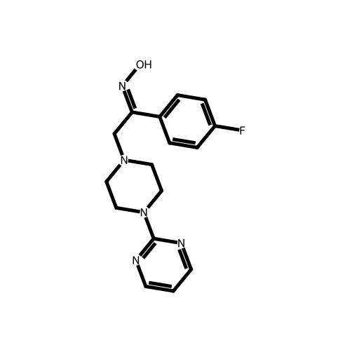 O/N=C(/CN1CCN(c2ncccn2)CC1)c1ccc(F)cc1